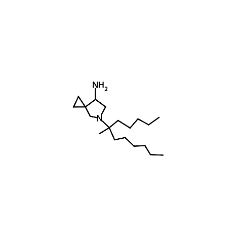 CCCCCCC(C)(CCCCC)N1CC(N)C2(CC2)C1